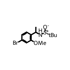 COc1cc(Br)ccc1C(C)N[S@@+]([O-])C(C)(C)C